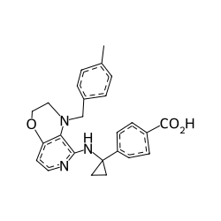 Cc1ccc(CN2CCOc3ccnc(NC4(c5ccc(C(=O)O)cc5)CC4)c32)cc1